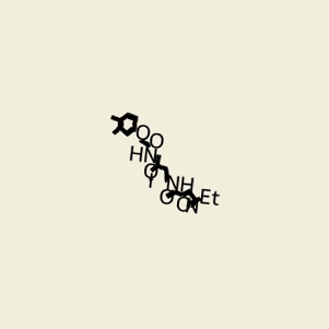 CCc1cc(C(=O)NCCC(CNC(=O)COc2ccc(C)c(C)c2)OI)on1